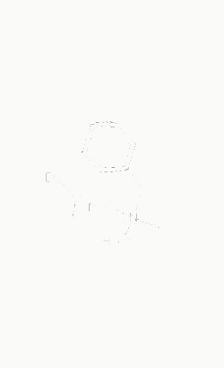 CCOCC.C[N+](C)(C)Cc1ccccc1